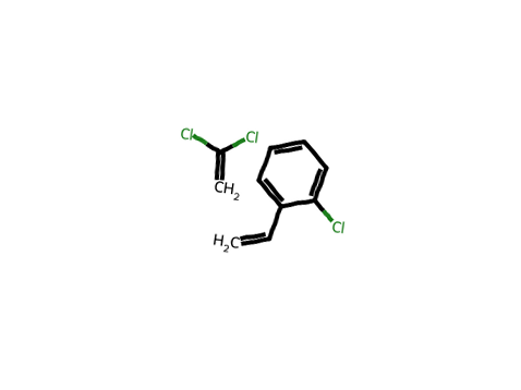 C=C(Cl)Cl.C=Cc1ccccc1Cl